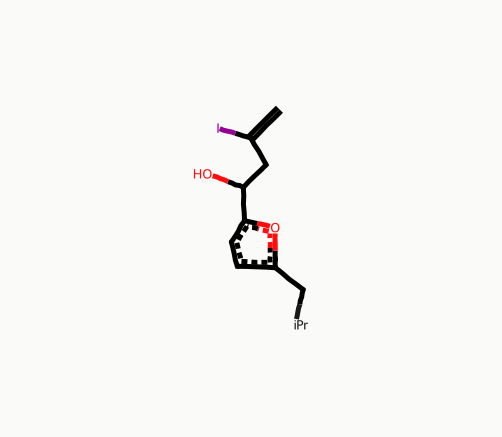 C=C(I)CC(O)c1ccc(CC(C)C)o1